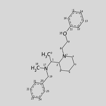 CC(C1CCCCN1CCOc1ccccc1)N(C)Cc1ccccc1